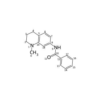 CN1CCCc2ccc(NC(=O)c3ccccc3)cc21